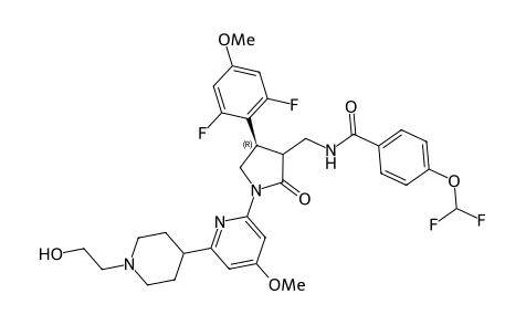 COc1cc(C2CCN(CCO)CC2)nc(N2C[C@@H](c3c(F)cc(OC)cc3F)C(CNC(=O)c3ccc(OC(F)F)cc3)C2=O)c1